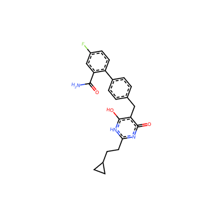 NC(=O)c1cc(F)ccc1-c1ccc(Cc2c(O)[nH]c(CCC3CC3)nc2=O)cc1